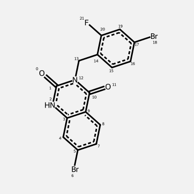 O=c1[nH]c2cc(Br)ccc2c(=O)n1Cc1ccc(Br)cc1F